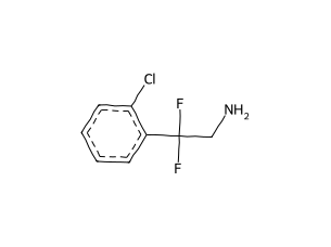 NCC(F)(F)c1ccccc1Cl